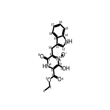 CCOC(=O)c1[nH]c(=O)c(Cc2c[nH]c3ccccc23)[n+]([O-])c1O